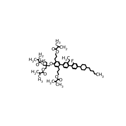 C=C(C)C(=O)OCCCc1cc(-c2ccc(-c3ccc(C4CCC(CCCCC)CC4)cc3F)c(CC)c2)c(CCCOC(=O)C(=C)C)cc1OCC(CS)(COC(=O)C(=C)C)COC(=O)C(=C)C